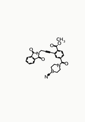 COC(=O)c1ccc(C(=O)N2CCB(C#N)CC2)cc1C#CCN1C(=O)c2ccccc2C1=O